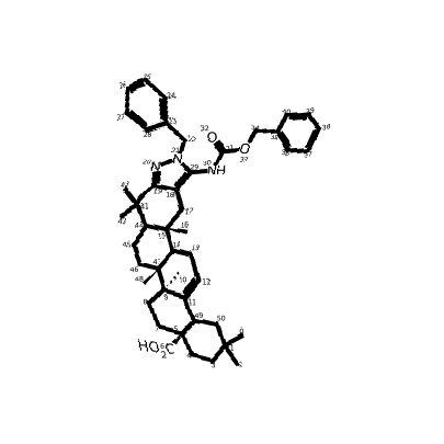 CC1(C)CC[C@]2(C(=O)O)CC[C@]3(C)C(=CCC4[C@@]5(C)Cc6c(nn(Cc7ccccc7)c6NC(=O)OCc6ccccc6)C(C)(C)C5CC[C@]43C)C2C1